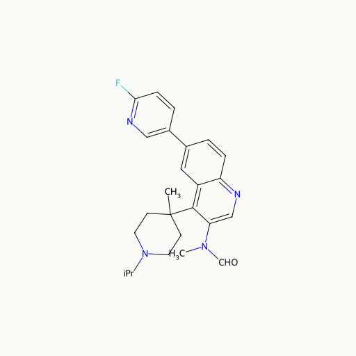 CC(C)N1CCC(C)(c2c(N(C)C=O)cnc3ccc(-c4ccc(F)nc4)cc23)CC1